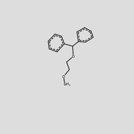 [SiH3]OCCOC(c1ccccc1)c1ccccc1